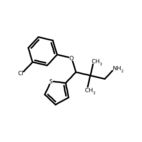 CC(C)(CN)C(Oc1cccc(Cl)c1)c1cccs1